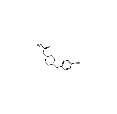 CC(C)(C)c1ccc(CN2CCN(CC(N)=O)CC2)cc1